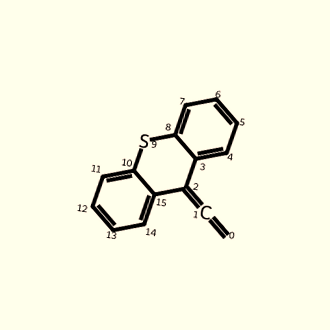 C=C=C1c2ccccc2Sc2ccccc21